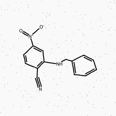 N#Cc1ccc([N+](=O)[O-])cc1NCc1ccccc1